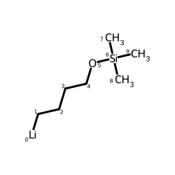 [Li][CH2]CCCO[Si](C)(C)C